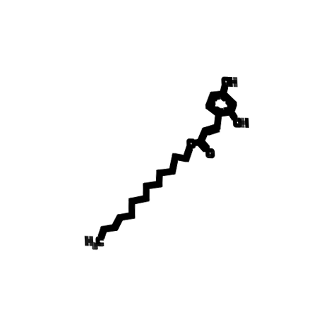 CCCCCCCCCCCCCOC(=O)C=Cc1ccc(O)cc1O